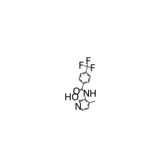 Cc1ccnc(O)c1NC(=O)c1ccc(C(F)(F)F)cc1